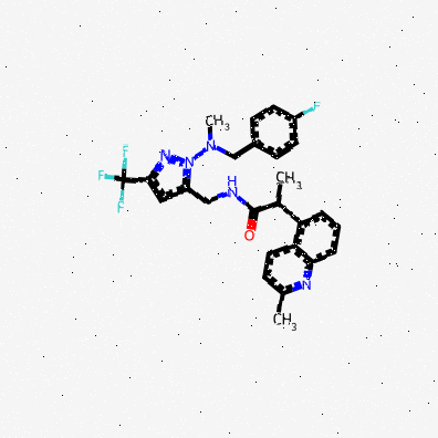 Cc1ccc2c(C(C)C(=O)NCc3cc(C(F)(F)F)nn3N(C)Cc3ccc(F)cc3)cccc2n1